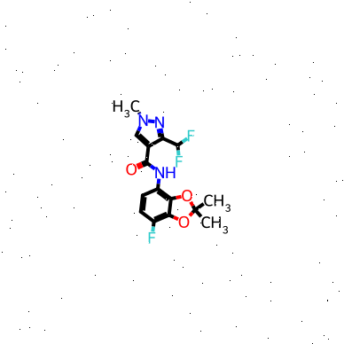 Cn1cc(C(=O)Nc2ccc(F)c3c2OC(C)(C)O3)c(C(F)F)n1